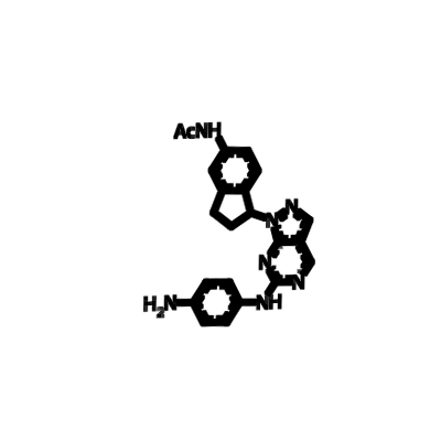 CC(=O)Nc1ccc2c(c1)CCC2n1ncc2cnc(Nc3ccc(N)cc3)nc21